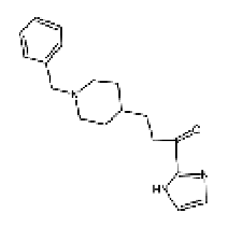 O=C(CCC1CCN(Cc2ccccc2)CC1)c1ncc[nH]1